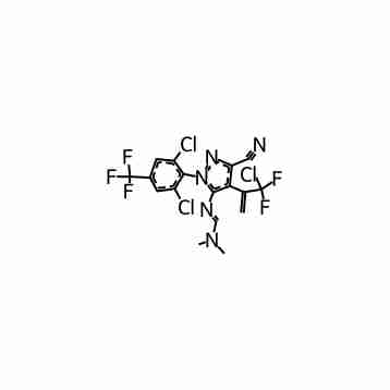 C=C(c1c(C#N)nn(-c2c(Cl)cc(C(F)(F)F)cc2Cl)c1N=CN(C)C)C(F)(F)Cl